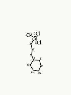 Cl[Si](Cl)(Cl)CCC[C]1CCCCC1